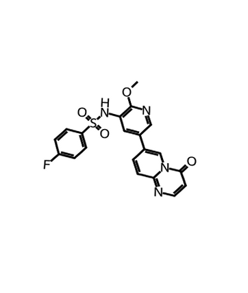 COc1ncc(-c2ccc3nccc(=O)n3c2)cc1NS(=O)(=O)c1ccc(F)cc1